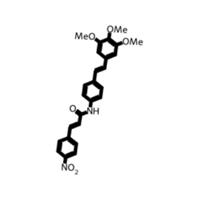 COc1cc(C=Cc2ccc(NC(=O)/C=C/c3ccc([N+](=O)[O-])cc3)cc2)cc(OC)c1OC